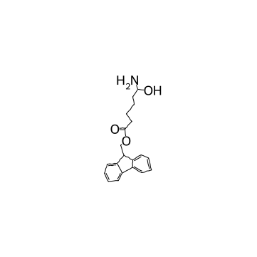 NC(O)CCCCC(=O)OCC1c2ccccc2-c2ccccc21